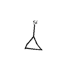 [Si]C1CC1